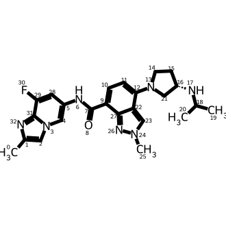 Cc1cn2cc(NC(=O)c3ccc(N4CC[C@H](NC(C)C)C4)c4cn(C)nc34)cc(F)c2n1